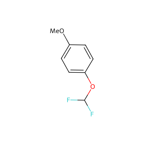 COc1ccc(OC(F)F)cc1